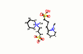 CN1CCCCC1CCCS(=O)(=O)O.C[N+]1(CCCS(=O)(=O)[O-])CCCCC1